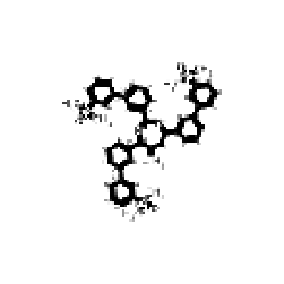 C=C1CC(c2cccc(-c3cccc(P(C)(C)=O)c3)c2)=NC(c2cccc(-c3cccc(P(C)(C)=O)c3)c2)=NC1c1cccc(-c2cccc(P(C)(C)=O)c2)c1